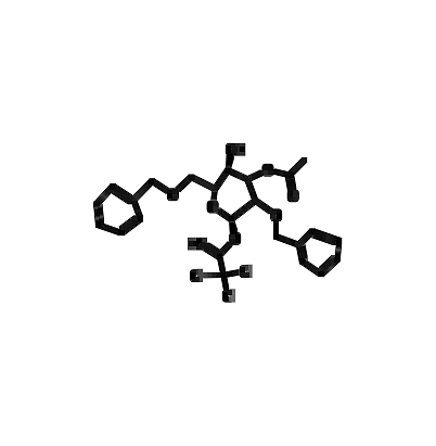 CC(=O)OC1C(OCc2ccccc2)[C@@H](OC(=N)C(Cl)(Cl)Cl)OC(COCc2ccccc2)[C@H]1O